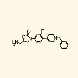 NCC1CN(c2ccc(C3=CCN(Cc4ccccc4)CC3)c(F)c2)C(=O)O1